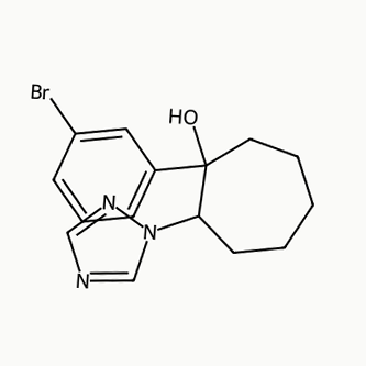 OC1(c2cccc(Br)c2)CCCCCC1n1cncn1